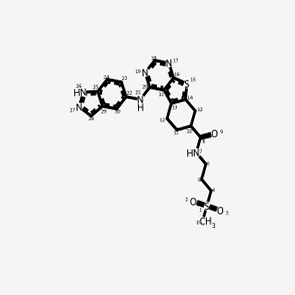 CS(=O)(=O)CCCNC(=O)C1CCc2c(sc3ncnc(Nc4ccc5[nH]ncc5c4)c23)C1